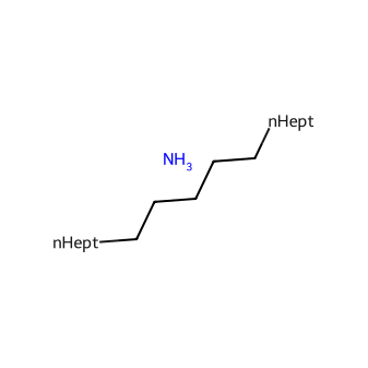 CC[CH]CCCCCCCCCCCCCCCC.N